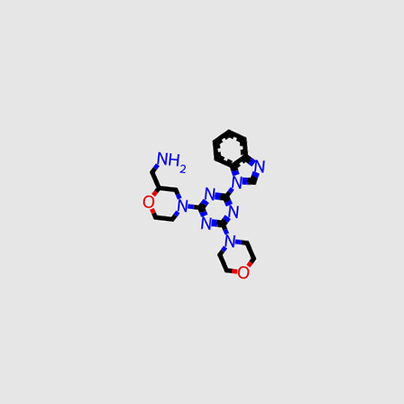 NCC1CN(c2nc(N3CCOCC3)nc(-n3cnc4ccccc43)n2)CCO1